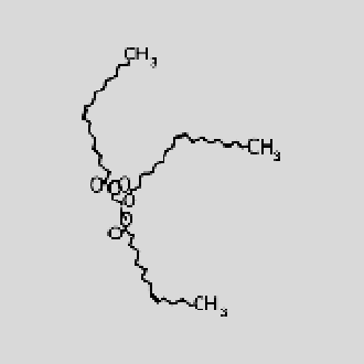 CCCCC/C=C\CCCCCCCC(=O)OC[C@H](COC(=O)CCCCCCC/C=C\CCCCCCCC)OC(=O)CCCCCCC/C=C\CCCCCCCC